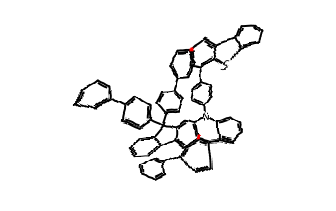 c1ccc(-c2ccc(-c3ccccc3N(c3ccc(-c4cccc5c4sc4ccccc45)cc3)c3ccc4c(c3)C(c3ccc(-c5ccccc5)cc3)(c3ccc(-c5ccccc5)cc3)c3ccccc3-4)cc2)cc1